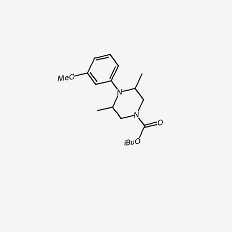 COc1cccc(N2C(C)CN(C(=O)OCC(C)C)CC2C)c1